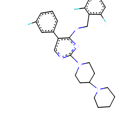 Fc1cccc(-c2cnc(N3CCC(N4CCCCC4)CC3)nc2NCc2c(F)cccc2F)c1